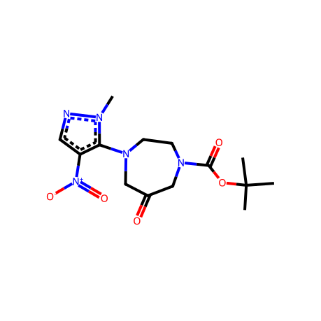 Cn1ncc([N+](=O)[O-])c1N1CCN(C(=O)OC(C)(C)C)CC(=O)C1